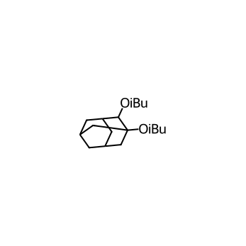 CC(C)COC1C2CC3CC(C2)CC1(OCC(C)C)C3